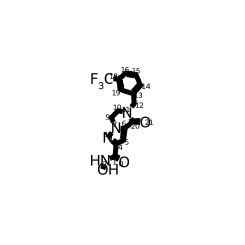 O=C(NO)c1cc2n(n1)CCN(Cc1cccc(C(F)(F)F)c1)C2=O